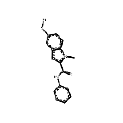 CCSc1ccc2c(c1)cc(C(=O)Nc1ccccc1)n2C